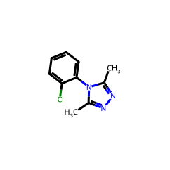 Cc1nnc(C)n1-c1ccccc1Cl